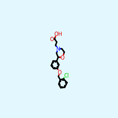 O=C(O)CCN1CCOC(c2cccc(OCc3ccccc3Cl)c2)C1